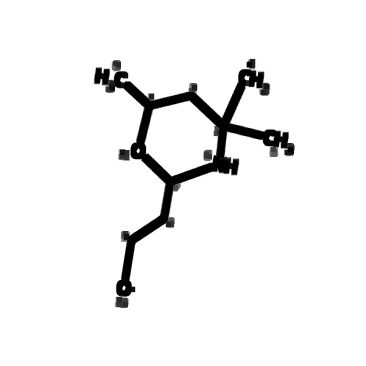 CC1CC(C)(C)NC(CC[O])O1